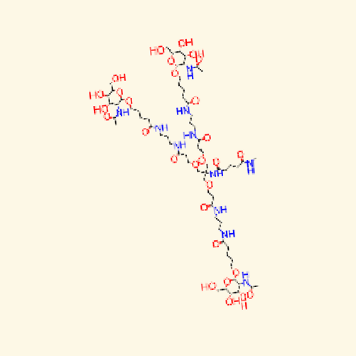 CNC(=O)CCCC(=O)NC(COCCC(=O)NCCCNC(=O)CCCCO[C@@H]1OC(CO)[C@H](O)[C@H](O)C1NC(C)=O)(COCCC(=O)NCCCNC(=O)CCCCO[C@@H]1OC(CO)[C@H](O)C(O)[C@@H]1NC(C)=O)COCCC(=O)NCCCNC(=O)CCCCO[C@@H]1OC(CO)[C@H](O)C(O)[C@@H]1NC(C)=O